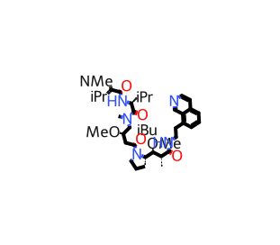 CC[C@H](C)C([C@@H](CC(=O)N1CCC[C@H]1[C@H](OC)[C@@H](C)C(=O)NCCc1cccc2ccncc12)OC)N(C)C(=O)[C@@H](NC(=O)C(NC)C(C)C)C(C)C